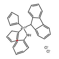 C1=CC[C]([Zr+2]([NH]c2ccccc2)([C]2=CC=CC2)[CH]2c3ccccc3-c3ccccc32)=C1.[Cl-].[Cl-]